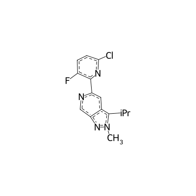 CC(C)c1c2cc(-c3nc(Cl)ccc3F)ncc2nn1C